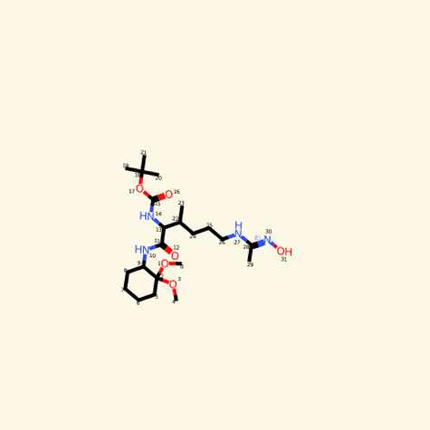 COC1(OC)CCCCC1NC(=O)C(NC(=O)OC(C)(C)C)C(C)CCCN/C(C)=N/O